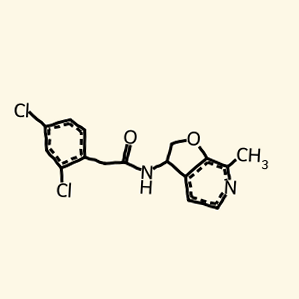 Cc1nccc2c1OCC2NC(=O)Cc1ccc(Cl)cc1Cl